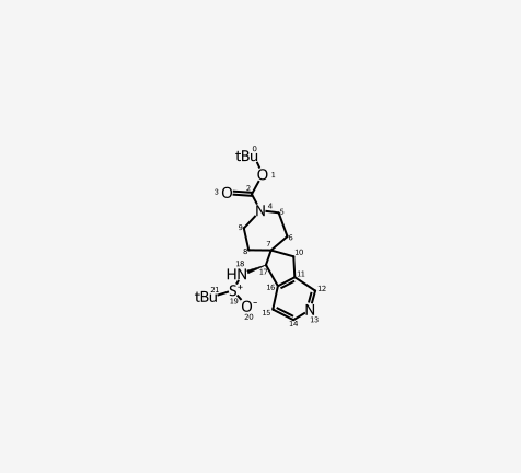 CC(C)(C)OC(=O)N1CCC2(CC1)Cc1cnccc1[C@H]2N[S+]([O-])C(C)(C)C